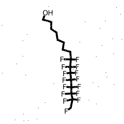 OCCCCCCCCC(F)(F)C(F)(F)C(F)(F)C(F)(F)C(F)(F)C(F)(F)C(F)(F)CF